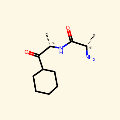 C[C@H](N)C(=O)N[C@@H](C)C(=O)C1CCCCC1